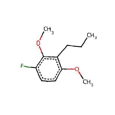 CCCc1c(OC)ccc(F)c1OC